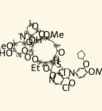 CC[C@H]1OC(=O)[C@H](C)[C@@H](O[C@H]2C[C@@](C)(OC)[C@@H](O)[C@H](C)O2)[C@H](C)[C@@H](O[C@@H]2O[C@H](C)C[C@H](N(C)C)[C@H]2O)[C@](C)(OC)C[C@@H](C)C(=O)[C@H](C)[C@H]2[C@H](SCCN(C(=O)c3c(Cl)cncc3Cl)c3ccc(OC)c(OC4CCCC4)c3)C(=O)O[C@@]21C